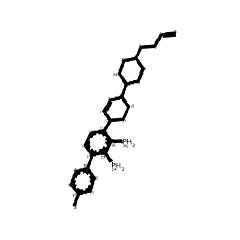 C=CCCC1CCC(C2C=CC(c3ccc(-c4ccc(C)cc4)c(P)c3P)CC2)CC1